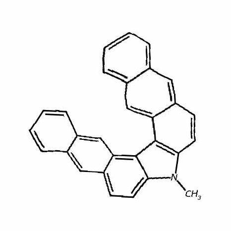 Cn1c2ccc3cc4ccccc4cc3c2c2c3cc4ccccc4cc3ccc21